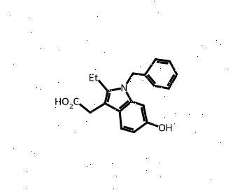 CCc1c(CC(=O)O)c2ccc(O)cc2n1Cc1ccccc1